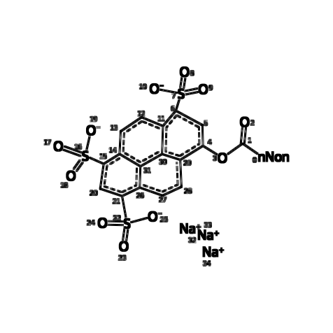 CCCCCCCCCC(=O)Oc1cc(S(=O)(=O)[O-])c2ccc3c(S(=O)(=O)[O-])cc(S(=O)(=O)[O-])c4ccc1c2c43.[Na+].[Na+].[Na+]